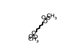 COC(=O)OCCCCCCOC(=O)OC